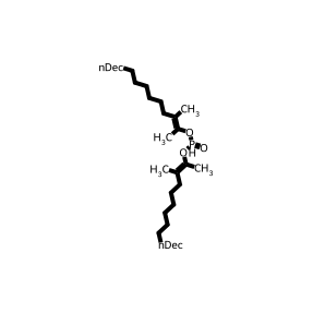 CCCCCCCCCCCCCCCC/C(C)=C(\C)O[PH](=O)O/C(C)=C(\C)CCCCCCCCCCCCCCCC